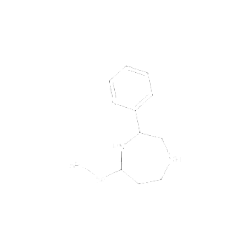 CCCC[Se]C1CCNCC(c2ccccn2)N1